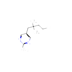 CC(C)(C)c1ncc(CC(C#N)(C#N)CCC(F)(F)F)cn1